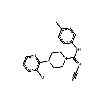 Cc1ccc(N/C(=N/C#N)N2CCN(c3ncccc3Cl)CC2)cc1